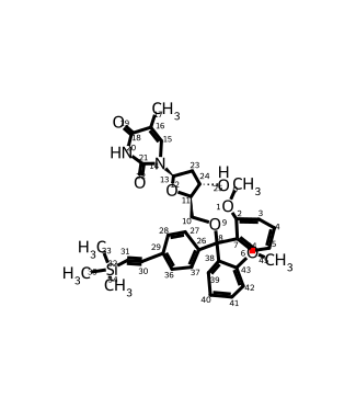 COc1ccccc1C(OC[C@H]1O[C@@H](n2cc(C)c(=O)[nH]c2=O)C[C@@H]1O)(c1ccc(C#C[Si](C)(C)C)cc1)c1ccccc1OC